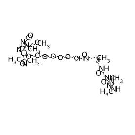 CNc1cn(C)c(C(=O)NCCC(=O)NCCCN(C)CCCNC(=O)CCOCCOCCOCCOCCOCCOCCOc2cc3c(cc2-c2c(C)noc2C)ncc2nc(C4CCOCC4)n([C@H](C)CCOC)c23)n1